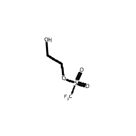 O=S(=O)(OCCO)C(F)(F)F